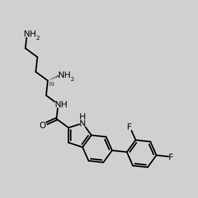 NCCC[C@H](N)CNC(=O)c1cc2ccc(-c3ccc(F)cc3F)cc2[nH]1